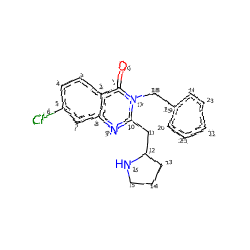 O=c1c2ccc(Cl)cc2nc(CC2CCCN2)n1Cc1ccccc1